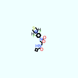 O=C(NCC1CN(c2cc(F)c(N3[C@@H]4CC[C@H]3CSC4)c(F)c2)C(=O)O1)C1CCC1